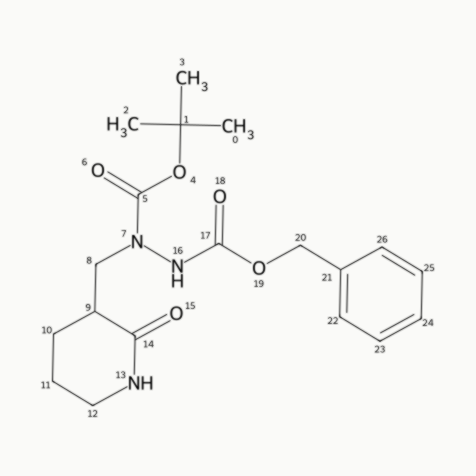 CC(C)(C)OC(=O)N(CC1CCCNC1=O)NC(=O)OCc1ccccc1